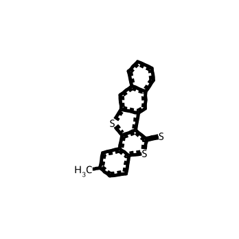 Cc1ccc2sc(=S)c3c4cc5ccccc5cc4sc3c2c1